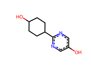 Oc1cnc(C2CCC(O)CC2)nc1